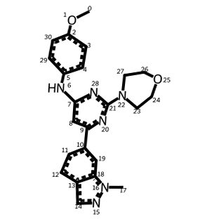 COc1ccc(Nc2cc(-c3ccc4cnn(C)c4c3)nc(N3CCOCC3)n2)cc1